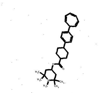 CN1C(C)(C)CC(OC(=O)C2CCC(c3ccc(C4C=CC=CC=C4)cc3)CC2)CC1(C)C